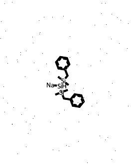 C[Si](C)(Cc1ccccc1)[SiH]([Na])[Si](C)(C)Cc1ccccc1